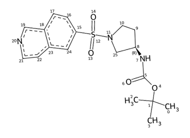 CC(C)(C)OC(=O)N[C@@H]1CCN(S(=O)(=O)c2ccc3cnccc3c2)C1